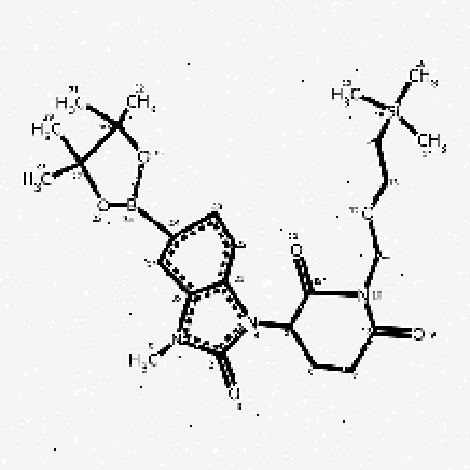 Cn1c(=O)n(C2CCC(=O)N(COCC[Si](C)(C)C)C2=O)c2ccc(B3OC(C)(C)C(C)(C)O3)cc21